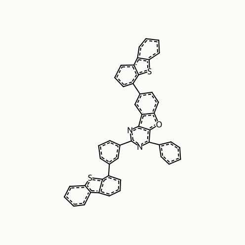 c1ccc(-c2nc(-c3cccc(-c4cccc5c4sc4ccccc45)c3)nc3c2oc2ccc(-c4cccc5c4sc4ccccc45)cc23)cc1